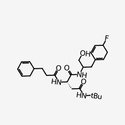 CC(C)(C)NC(=O)C[C@H](NC(=O)CCC1C=CC=CC1)C(=O)NC(CO)CC1=CCC(F)C=C1